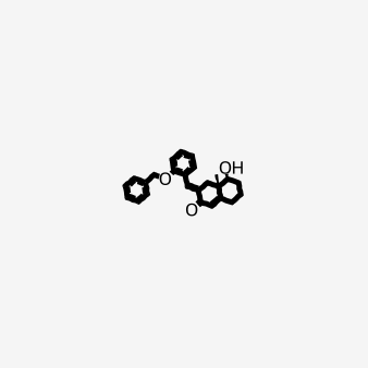 C[C@]12CC(=Cc3ccccc3OCc3ccccc3)C(=O)C=C1CCC[C@@H]2O